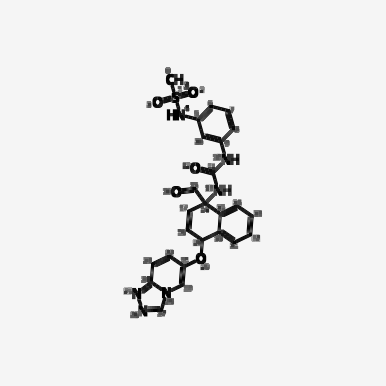 CS(=O)(=O)Nc1cccc(NC(=O)NC2(C=O)C=CC(Oc3ccc4nncn4c3)c3ccccc32)c1